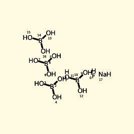 F.OB(O)O.OB(O)O.OB(O)O.OB(O)O.[NaH]